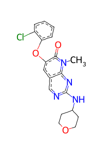 Cn1c(=O)c(Oc2ccccc2Cl)cc2cnc(NC3CCOCC3)nc21